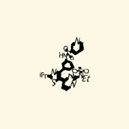 CCN(c1nccc(-c2sc(C(C)C)nc2-c2cccc(NS(=O)(=O)c3cccnc3)c2)n1)S(C)(=O)=O